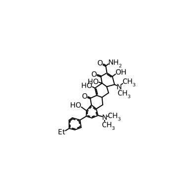 CCc1ccc(-c2cc(N(C)C)c3c(c2O)C(=O)C2=C(O)C4(O)C(=O)C(C(N)=O)=C(O)C(N(C)C)C4CC2C3)cc1